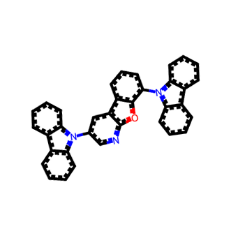 c1cc(-n2c3ccccc3c3ccccc32)c2oc3ncc(-n4c5ccccc5c5ccccc54)cc3c2c1